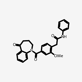 COc1cc(C(=O)N2CCCC(=O)c3ccccc32)ccc1CC(=O)Nc1ccccc1